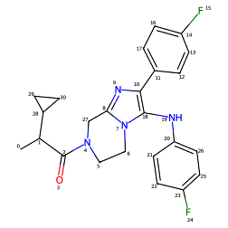 CC(C(=O)N1CCn2c(nc(-c3ccc(F)cc3)c2Nc2ccc(F)cc2)C1)C1CC1